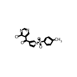 Cc1ccc(S(=O)(=O)n2ccc(C(=O)c3cncnc3Cl)c2)cc1